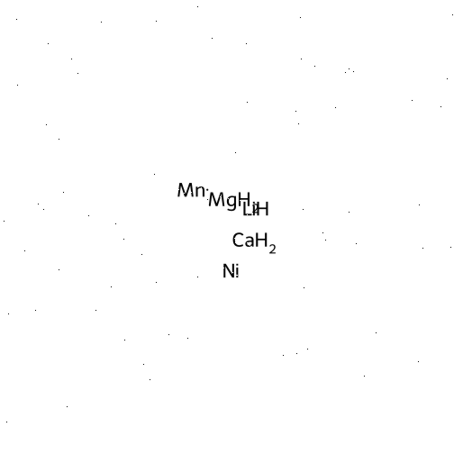 [CaH2].[LiH].[MgH2].[Mn].[Ni]